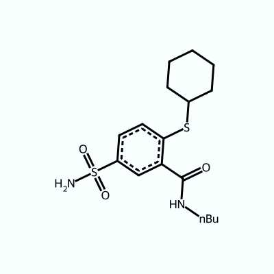 CCCCNC(=O)c1cc(S(N)(=O)=O)ccc1SC1CCCCC1